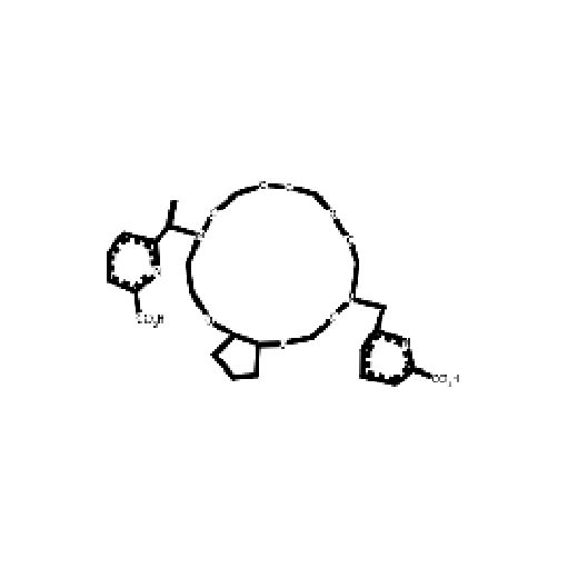 CC(c1cccc(C(=O)O)n1)N1CCOCCOCCN(Cc2cccc(C(=O)O)n2)CCOC2CCCC2OCC1